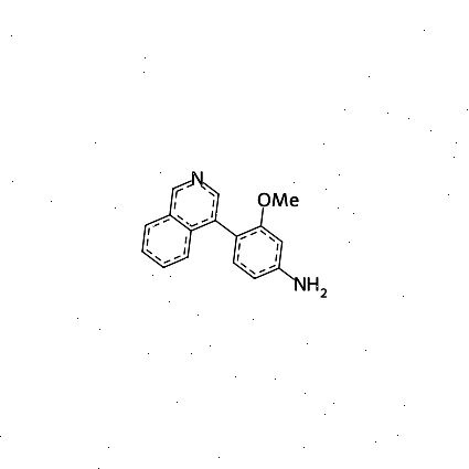 COc1cc(N)ccc1-c1cncc2ccccc12